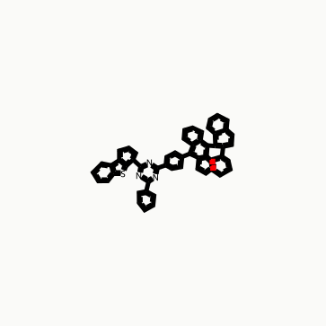 c1ccc(-c2nc(-c3ccc(-c4c5ccccc5c(-c5c(-c6ccccc6)ccc6ccccc56)c5ccccc45)cc3)nc(-c3cccc4c3sc3ccccc34)n2)cc1